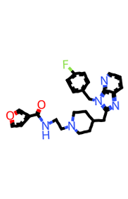 O=C(NCCN1CCC(Cc2nc3cccnc3n2Cc2ccc(F)cc2)CC1)c1ccoc1